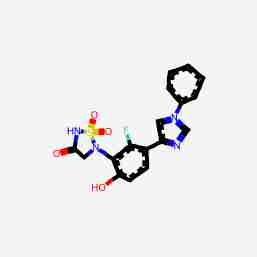 O=C1CN(c2c(O)ccc(-c3cn(-c4ccccc4)cn3)c2F)S(=O)(=O)N1